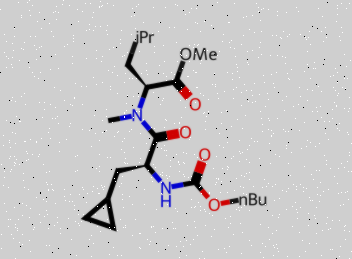 CCCCOC(=O)N[C@@H](CC1CC1)C(=O)N(C)[C@@H](CC(C)C)C(=O)OC